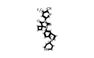 N#Cc1ncc(N2C(=O)C3(CCC3)N(c3ccc4c(ccn4C4CCNCC4)c3)C2=S)cc1C(F)(F)F